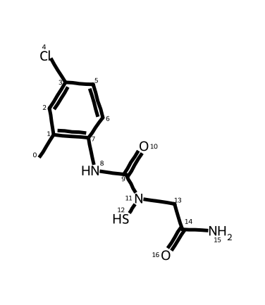 Cc1cc(Cl)ccc1NC(=O)N(S)CC(N)=O